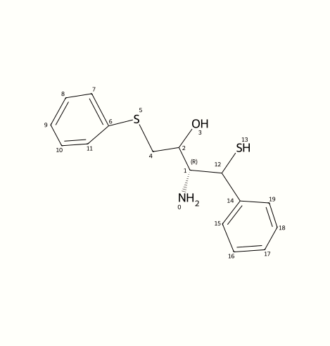 N[C@H](C(O)CSc1ccccc1)C(S)c1ccccc1